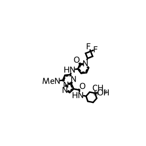 CNc1cc(Nc2cccn(C3CC(F)(F)C3)c2=O)nc2c(C(=O)NC3CCC[C@](C)(O)C3)cnn12